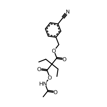 CCC(CC)(C(=O)OCc1cccc(C#N)c1)C(=O)ONC(C)=O